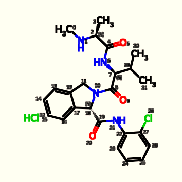 CN[C@@H](C)C(=O)N[C@H](C(=O)N1Cc2ccccc2[C@H]1C(=O)Nc1ccccc1Cl)C(C)C.Cl